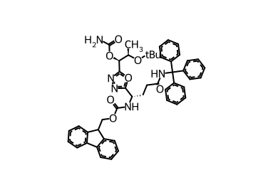 C[C@@H](OC(C)(C)C)[C@H](OC(N)=O)c1nnc([C@H](CCC(=O)NC(c2ccccc2)(c2ccccc2)c2ccccc2)NC(=O)OCC2c3ccccc3-c3ccccc32)o1